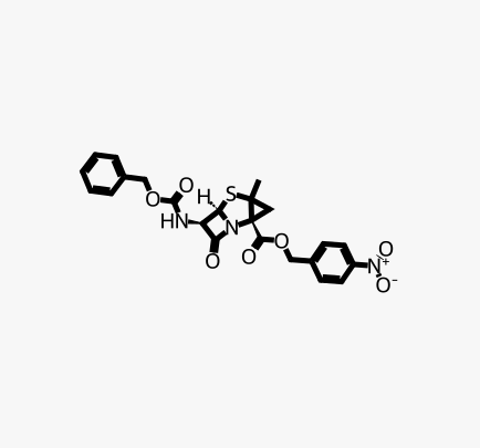 CC12C[C@]1(C(=O)OCc1ccc([N+](=O)[O-])cc1)N1C(=O)[C@@H](NC(=O)OCc3ccccc3)[C@H]1S2